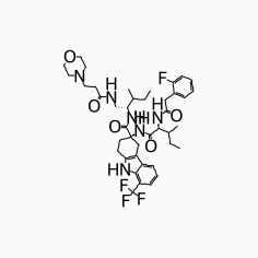 CCC(C)[C@H](NC(=O)Cc1ccccc1F)C(=O)N[C@]1(C(=O)N[C@H](CNC(=O)CCN2CCOCC2)C(C)CC)CCc2[nH]c3c(C(F)(F)F)cccc3c2C1